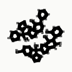 Cn1ccnc1C(O)(c1ccc(Cl)cc1)c1ccc2nc(Cl)c(-c3ccccc3Cl)c(Cl)c2c1.Cn1cncc1C(N)(c1ccncc1)c1ccc2ncc(-c3ccccc3)c(Cl)c2c1